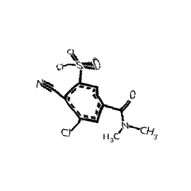 CN(C)C(=O)c1cc(Cl)c(C#N)c(S(=O)(=O)Cl)c1